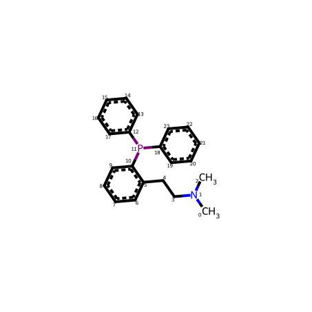 CN(C)CCc1ccccc1P(c1ccccc1)c1ccccc1